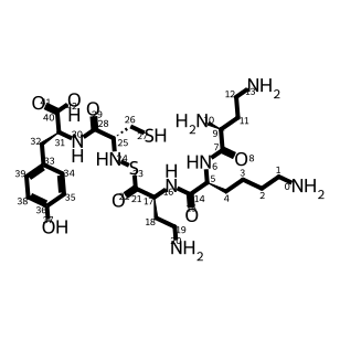 NCCCC[C@H](NC(=O)[C@@H](N)CCN)C(=O)N[C@@H](CCN)C(=O)SN[C@@H](CS)C(=O)N[C@@H](Cc1ccc(O)cc1)C(=O)O